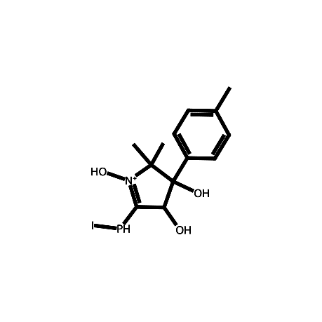 Cc1ccc(C2(O)C(O)C(PI)=[N+](O)C2(C)C)cc1